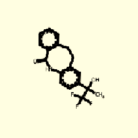 CC(O)(c1ccc2c(c1)CCc1ccccc1C(=O)N2)C(F)(F)F